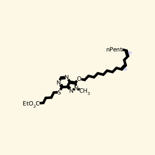 CCCCC/C=C\C/C=C\CCCCCCCCOc1c2ncnc(SCCCCC(=O)OCC)c2nn1C